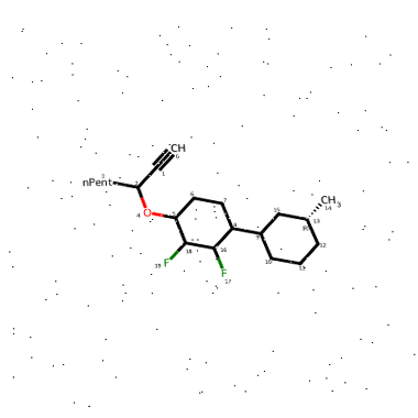 C#CC(CCCCC)OC1CCC(C2CCC[C@@H](C)C2)C(F)C1F